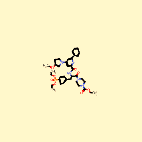 CCOC(=O)N1CCN(C(=O)C(Cc2ccc(P(=O)(OCC)OCC)cc2)NC(=O)c2cc(N3CCC(OC)C3)cc(-c3ccccc3)n2)CC1